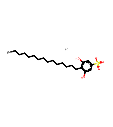 CC(C)CCCCCCCCCCCCCCc1c(O)cc(S(=O)(=O)[O-])cc1O.[K+]